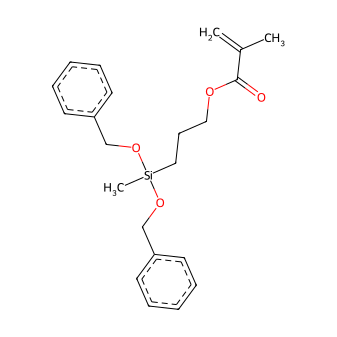 C=C(C)C(=O)OCCC[Si](C)(OCc1ccccc1)OCc1ccccc1